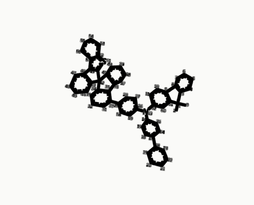 CC1(C)c2ccccc2-c2ccc(N(c3ccc(-c4ccccc4)cc3)c3ccc(-c4cccc5c4-c4ccccc4C54c5ccccc5-c5c4sc4ccccc54)cc3)cc21